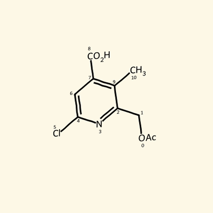 CC(=O)OCc1nc(Cl)cc(C(=O)O)c1C